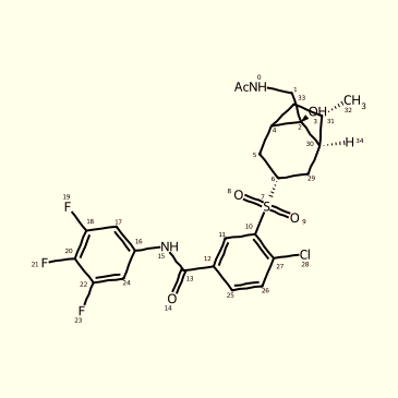 CC(=O)NC[C@@]1(O)C2C[C@@H](S(=O)(=O)c3cc(C(=O)Nc4cc(F)c(F)c(F)c4)ccc3Cl)C[C@@H]1[C@@H](C)C2